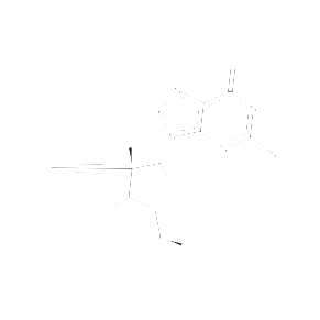 CC#C[C@@]1(Cl)C(O)[C@@H]([C@@H](C)O)O[C@H]1n1cnc2c(=O)[nH]c(N)nc21